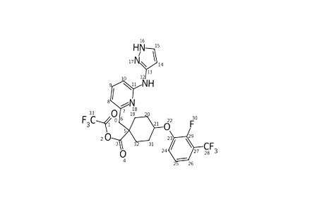 O=C(OC(=O)C1(Cc2cccc(Nc3cc[nH]n3)n2)CCC(Oc2cccc(C(F)(F)F)c2F)CC1)C(F)(F)F